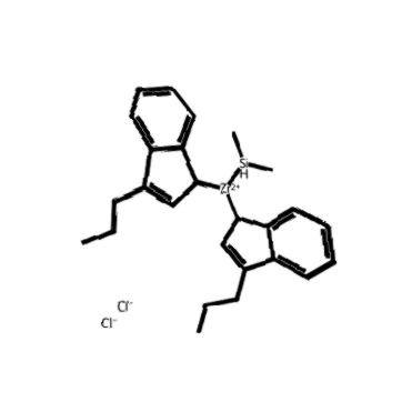 CCCC1=C[CH]([Zr+2]([CH]2C=C(CCC)c3ccccc32)[SiH](C)C)c2ccccc21.[Cl-].[Cl-]